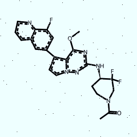 COc1nc(N[C@@H]2CCN(C(C)=O)CC2(F)F)nn2ccc(-c3cc(F)c4ncccc4c3)c12